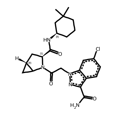 CC1(C)CCC[C@@H](NC(=O)[C@@H]2C[C@H]3CC3N2C(=O)Cn2nc(C(N)=O)c3ccc(Cl)cc32)C1